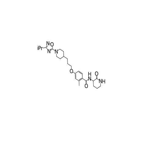 Cc1cc(OCCCC2CCN(c3nc(C(C)C)no3)CC2)ccc1C(=O)NC1CCCNC1=O